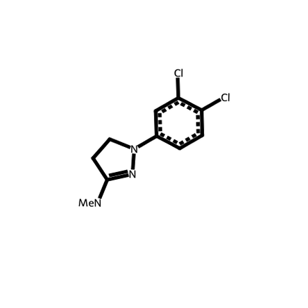 CNC1=NN(c2ccc(Cl)c(Cl)c2)CC1